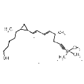 C[C@@H](/C=C/C=C/[C@@H]1C[C@@H]1[C@@H](C)CCCCO)CC#C[Si](C)(C)C